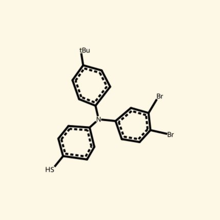 CC(C)(C)c1ccc(N(c2ccc(S)cc2)c2ccc(Br)c(Br)c2)cc1